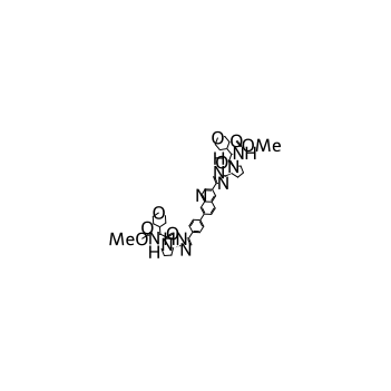 COC(=O)N[C@H](C(=O)N1CCC[C@H]1c1nc(-c2cnc3cc(-c4ccc(-c5cnc([C@@H]6CCCN6C(=O)[C@@H](NC(=O)OC)C6CCOCC6)[nH]5)cc4)ccc3c2)c[nH]1)C1CCOCC1